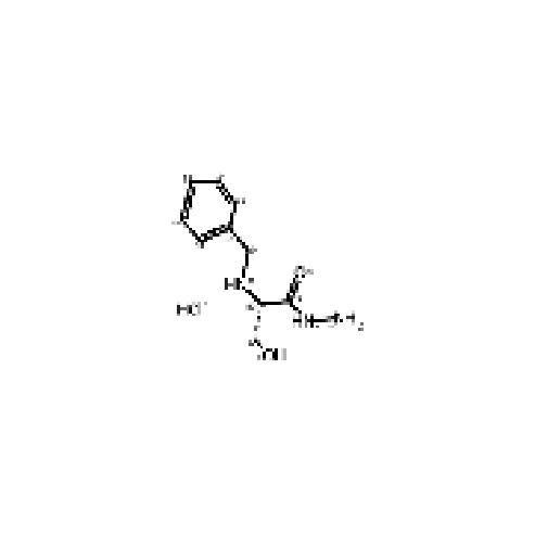 Cl.NNC(=O)[C@H](CO)NCc1ccccc1